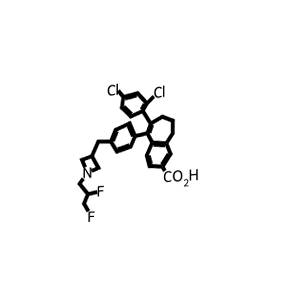 O=C(O)c1ccc2c(c1)CCCC(c1ccc(Cl)cc1Cl)=C2c1ccc(CC2CN(CC(F)CF)C2)cc1